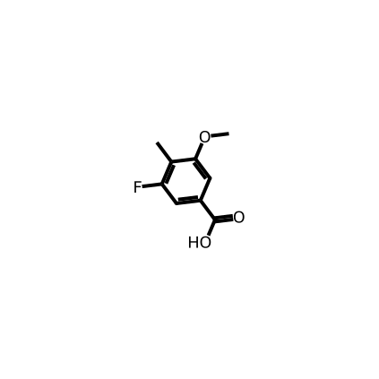 COc1cc(C(=O)O)cc(F)c1C